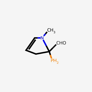 CN1C=CCC1(P)C=O